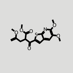 C=C(CC(C(=O)OC)C(=O)c1cc2cc(OC)c(OC)nc2s1)OC